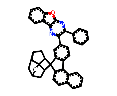 c1ccc(-c2nc3oc4ccccc4c3nc2-c2ccc3c(c2)C2(c4ccc5ccccc5c4-3)C3CC4CC5CC2C3(C4)C5)cc1